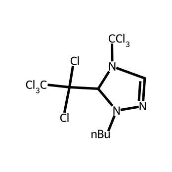 CCCCN1N=CN(C(Cl)(Cl)Cl)C1C(Cl)(Cl)C(Cl)(Cl)Cl